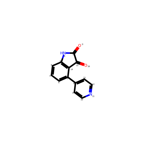 O=C1Nc2cccc(-c3ccncc3)c2C1=O